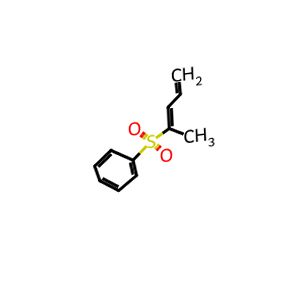 C=C/C=C(\C)S(=O)(=O)c1ccccc1